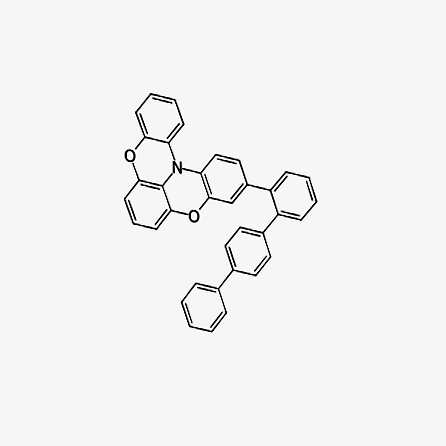 c1ccc(-c2ccc(-c3ccccc3-c3ccc4c(c3)Oc3cccc5c3N4c3ccccc3O5)cc2)cc1